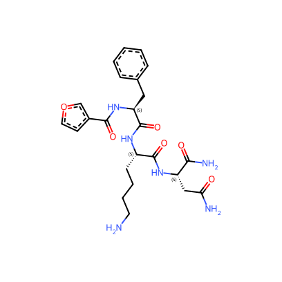 NCCCC[C@H](NC(=O)[C@H](Cc1ccccc1)NC(=O)c1ccoc1)C(=O)N[C@@H](CC(N)=O)C(N)=O